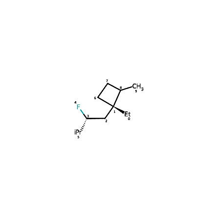 CC[C@@]1(C[C@@H](F)C(C)C)CCC1C